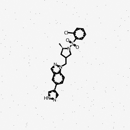 C[C@@H]1CC(Cn2ncc3cc(-c4cn[nH]c4)ccc32)CN1S(=O)(=O)c1ccccc1Cl